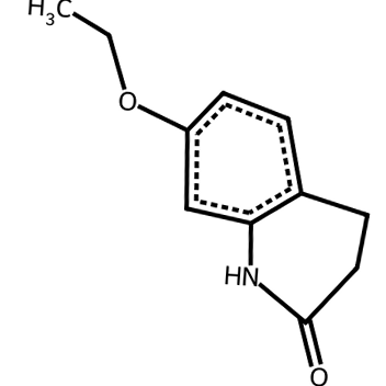 CCOc1ccc2c(c1)NC(=O)CC2